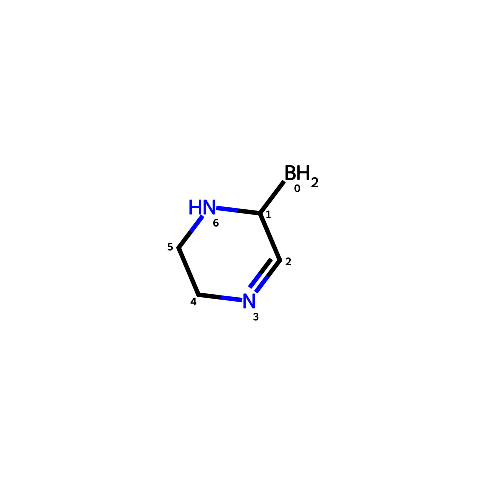 BC1C=NCCN1